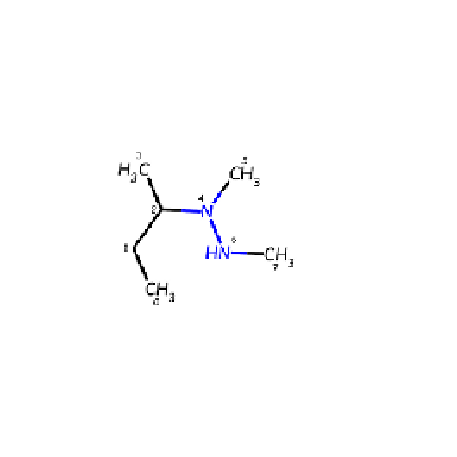 CCC(C)N(C)NC